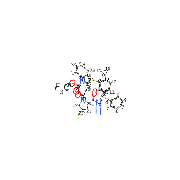 O=C(N[C@@H](c1ccccc1)c1ccc(C2CC2)c(F)c1)[C@@H]1C[C@@H](F)CN1C(=O)Cc1cc2ccccc2n1C(=O)OC(F)(F)F